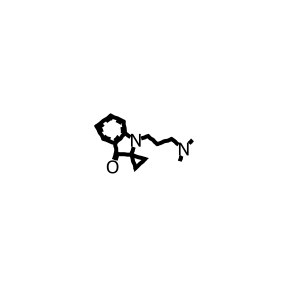 CN(C)CCCN1c2ccccc2C(=O)C12CC2